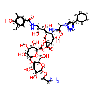 Cc1cc(C(=O)NC[C@@H](O)[C@@H](O)[C@@H]2O[C@@](OC[C@H]3O[C@@H](O[C@H]4[C@H](O)[C@@H](O)[C@H](OCCN)O[C@@H]4CO)[C@H](O)[C@@H](O)[C@H]3O)(C(=O)O)C[C@H](O)[C@H]2NC(=O)Cn2cc(C3CCCCC3)nn2)cc(C)c1O